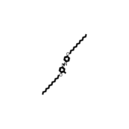 CCCCCCCCCCCCOc1ccc(N=Nc2ccc(OCCCCCCCCCCCC)c(C)c2)cc1